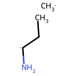 CC[CH]N.[CH3]